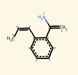 C=C(N)c1ccccc1/C=C\C